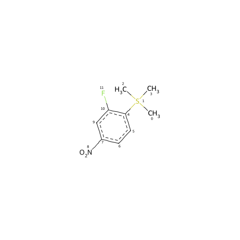 CS(C)(C)c1ccc([N+](=O)[O-])cc1F